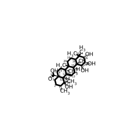 C[C@@H]1CC[C@]2(C(=O)O)CC[C@]3(C)C(=CC[C@@H]4[C@]5(C)C(CC[C@]43C)C(C)(C)[C@H](O)[C@H](O)[C@H]5O)[C@@H]2[C@]1(C)O